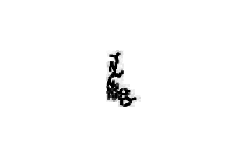 CC/C(Cn1cnc(C(=O)Nc2cccc(C)c2F)n1)=N\C=C(C)C